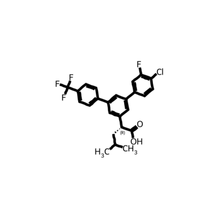 CC(C)C[C@@H](C(=O)O)c1cc(-c2ccc(C(F)(F)F)cc2)cc(-c2ccc(Cl)c(F)c2)c1